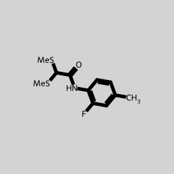 CSC(SC)C(=O)Nc1ccc(C)cc1F